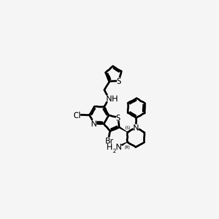 N[C@@H]1CCCN(c2ccccc2)[C@@H]1c1sc2c(NCc3cccs3)cc(Cl)nc2c1Br